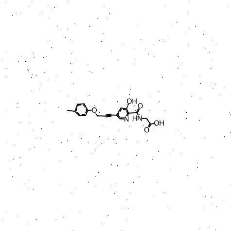 Cc1ccc(OCC#Cc2cnc(C(=O)NCC(=O)O)c(O)c2)cc1